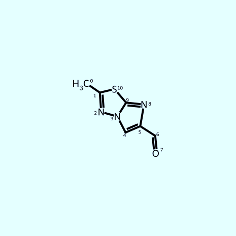 Cc1nn2cc(C=O)nc2s1